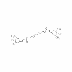 CC1=CC(C=CC(=O)OCCOCCOCCOC(=O)C=CC2C=C(C)C(O)=C(C(C)(C)C)C2)CC(C(C)(C)C)=C1O